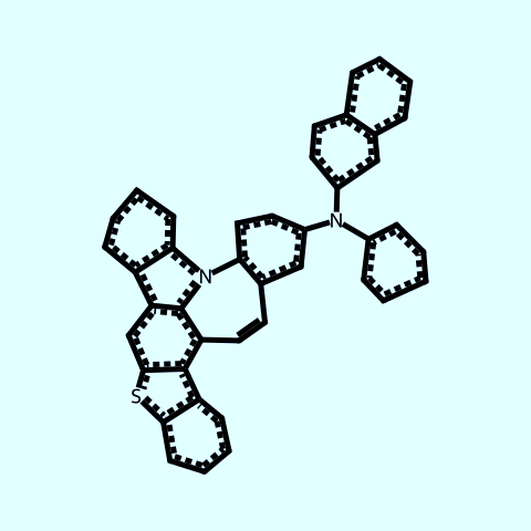 C1=Cc2c3c(cc4c5ccccc5n(c24)-c2ccc(N(c4ccccc4)c4ccc5ccccc5c4)cc21)sc1ccccc13